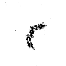 N#Cc1ccc(CN2CCC(NC(=O)c3ccc(C(=O)N4CCN(c5ccc(C(F)(F)F)cn5)CC4)cc3)CC2)cc1